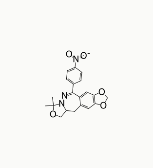 CC1(C)OCC2Cc3cc4c(cc3C(c3ccc([N+](=O)[O-])cc3)=NN21)OCO4